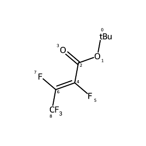 CC(C)(C)OC(=O)C(F)=C(F)C(F)(F)F